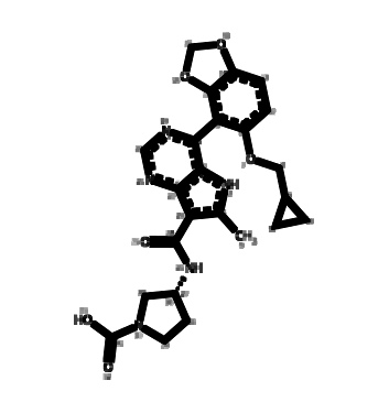 Cc1[nH]c2c(-c3c(OCC4CC4)ccc4c3OCO4)ncnc2c1C(=O)N[C@@H]1CCN(C(=O)O)C1